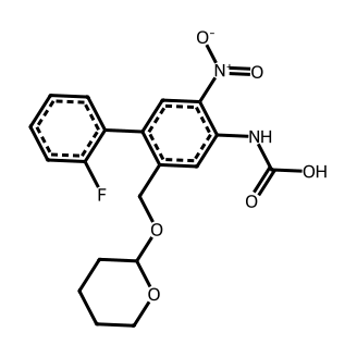 O=C(O)Nc1cc(COC2CCCCO2)c(-c2ccccc2F)cc1[N+](=O)[O-]